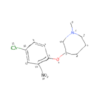 CN1CCCC(Oc2ccc(Cl)cc2[N+](=O)[O-])C1